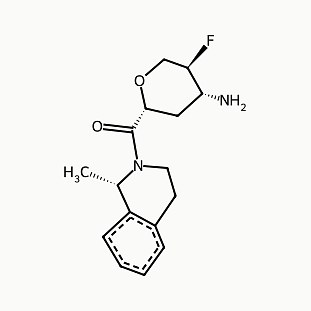 C[C@H]1c2ccccc2CCN1C(=O)[C@H]1C[C@@H](N)[C@H](F)CO1